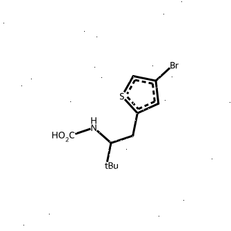 CC(C)(C)C(Cc1cc(Br)cs1)NC(=O)O